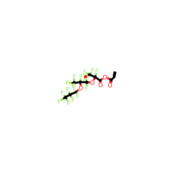 C=CC(=O)OC(=O)C(F)(OC(F)(F)C(F)(OC(F)(F)C(F)(F)C(F)(F)F)C(F)(F)F)C(F)(F)F